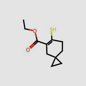 CCOC(=O)C1=C(S)CCC2(CC2)C1